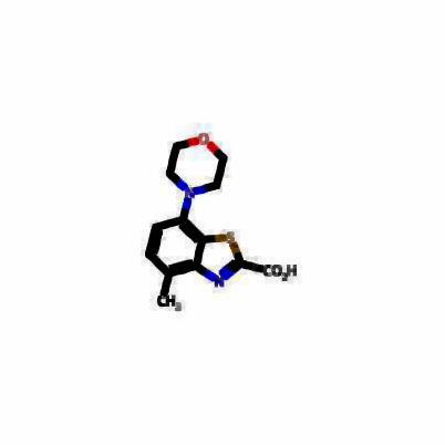 Cc1ccc(N2CCOCC2)c2sc(C(=O)O)nc12